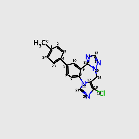 Cc1ccc(-c2ccc3c(c2)-c2ncnn2Cc2c(Cl)ncn2-3)cc1